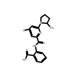 CC1CCCN1c1cc(Cl)cc(C(=O)Nc2ccccc2C(=O)O)n1